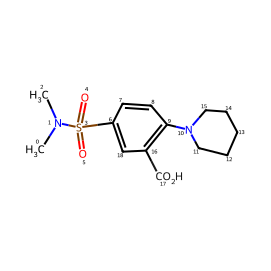 CN(C)S(=O)(=O)c1ccc(N2CCCCC2)c(C(=O)O)c1